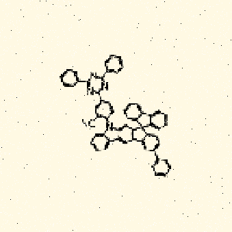 N#Cc1cc(-c2nc(-c3ccccc3)nc(-c3ccccc3)n2)ccc1-n1c2ccccc2c2cc3c(cc21)C1(c2ccccc2-c2ccccc21)c1ccc(-c2ccccc2)cc1-3